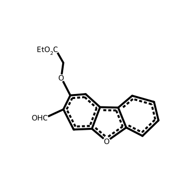 CCOC(=O)COc1cc2c(cc1C=O)oc1ccccc12